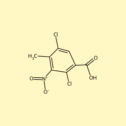 Cc1c(Cl)cc(C(=O)O)c(Cl)c1[N+](=O)[O-]